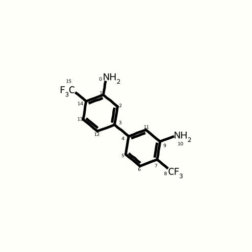 Nc1cc(-c2ccc(C(F)(F)F)c(N)c2)ccc1C(F)(F)F